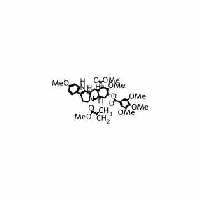 C=C(C)C(=O)OC.COC(=O)[C@H]1[C@H]2C[C@@H]3c4[nH]c5cc(OC)ccc5c4CCN3C[C@H]2C[C@@H](OC(=O)c2cc(OC)c(OC)c(OC)c2)[C@@H]1OC